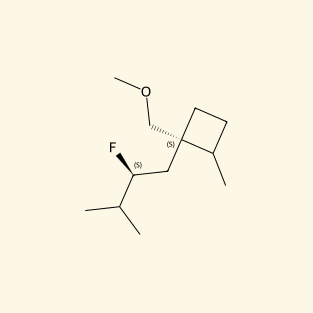 COC[C@]1(C[C@H](F)C(C)C)CCC1C